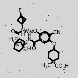 COc1cc(C#N)c(OC2CCC(C)(C(=O)O)CC2)cc1C(=O)N[C@@H]1[C@H]2CC[C@H](C2)[C@@H]1C(=O)NC12CC(F)(C1)C2